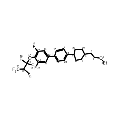 CCOCCC1CCC(c2ccc(-c3cc(F)c(OC(F)(F)C(F)C(F)(F)F)c(F)c3)cc2)CC1